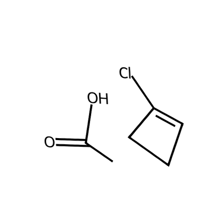 CC(=O)O.ClC1=CCC1